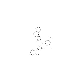 Cc1c(N(c2cc(C(C)(C)C)cc(C(C)(C)C)c2)c2nc3c4ccc(F)cc4ccn3c2C)nc2c3ccc(F)cc3ccn12